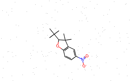 CC(C)(C)C1Oc2ccc([N+](=O)[O-])cc2C1(C)C